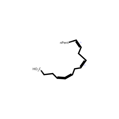 CCCCC/C=C\C/C=C\CC=C=CCCC(=O)O